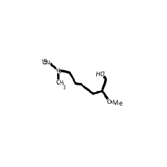 COC(CO)CCCCN(C)C(C)(C)C